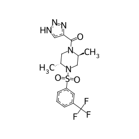 C[C@@H]1CN(C(=O)c2c[nH]nn2)[C@@H](C)CN1S(=O)(=O)c1cccc(C(F)(F)F)c1